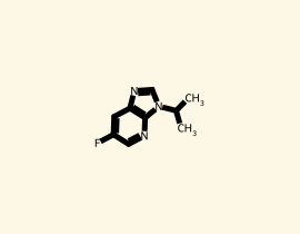 CC(C)n1cnc2cc(F)cnc21